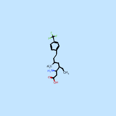 CCC(CC(C)CCc1ccc(C(F)(F)F)cc1)C(N)CC(=O)O